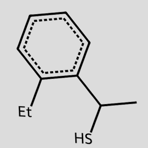 CCc1ccccc1C(C)S